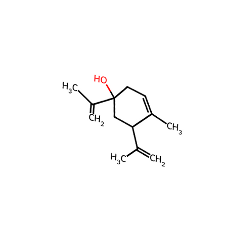 C=C(C)C1CC(O)(C(=C)C)CC=C1C